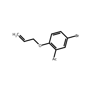 C=CCOc1ccc(Br)cc1C(C)=O